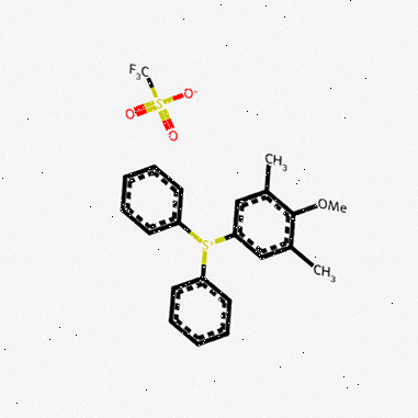 COc1c(C)cc([S+](c2ccccc2)c2ccccc2)cc1C.O=S(=O)([O-])C(F)(F)F